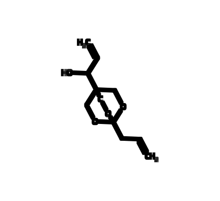 C=CCC12OCC(C(O)C=C)(CO1)CO2